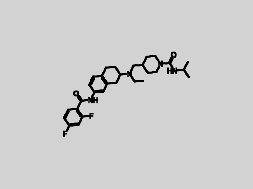 CCN(CC1CCN(C(=O)NC(C)C)CC1)C1CCc2ccc(NC(=O)c3ccc(F)cc3F)cc2C1